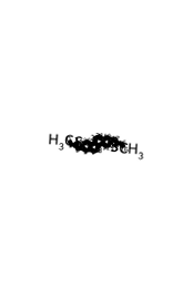 CCc1cc2cc3ccc4c5cc6sc(CC)cc6cc5ccc4c3cc2s1